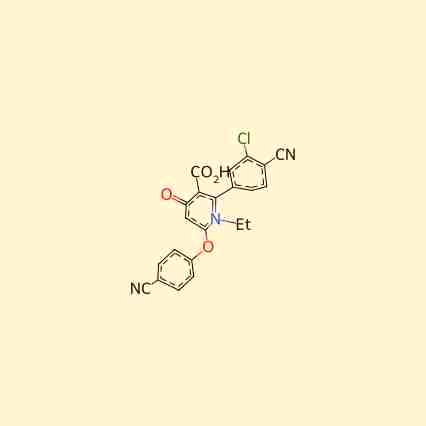 CCn1c(Oc2ccc(C#N)cc2)cc(=O)c(C(=O)O)c1-c1ccc(C#N)c(Cl)c1